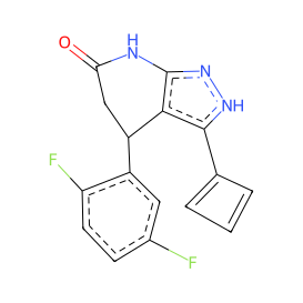 O=C1CC(c2cc(F)ccc2F)c2c(n[nH]c2C2=CC=C2)N1